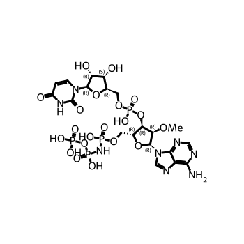 CO[C@@H]1[C@H](OP(=O)(O)OC[C@H]2O[C@@H](n3ccc(=O)[nH]c3=O)[C@H](O)[C@@H]2O)[C@@H](COP(=O)(O)NP(=O)(O)OP(=O)(O)O)O[C@H]1n1cnc2c(N)ncnc21